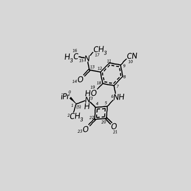 CC(C)[C@H](C)Nc1c(Nc2cc(C#N)cc(C(=O)N(C)C)c2O)c(=O)c1=O